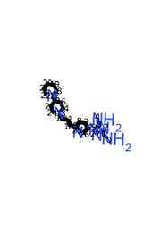 Nc1nc(N)n(-c2ccc(/C=C/CN3CCC(N4CCCCC4)CC3)nc2)n1